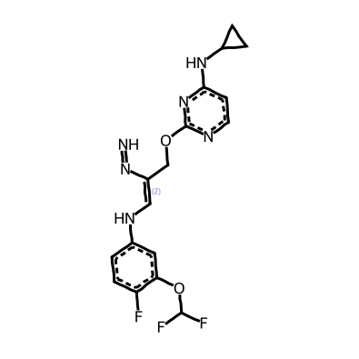 N=N/C(=C\Nc1ccc(F)c(OC(F)F)c1)COc1nccc(NC2CC2)n1